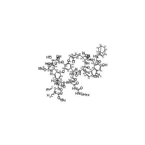 CCCCCCNC(=O)NC(=O)C[C@@H]1NC(=O)[C@H](NC(=O)[C@@H](CC(C)C)N(C)C(=O)OC(C)(C)C)[C@H](O)c2ccc3c(c2)C(NC(=O)OC(C)(C)C)[C@H]2O[C@@H](Oc4c5cc(cc4O3)[C@@H](NC1=O)C(=O)N[C@H]1C(=O)N[C@H](C(=O)N[C@H](C(=O)NC3C4CC6CC(C4)CC3C6)c3cc(O)cc(C)c3-c3cc1ccc3O)[C@H](O)c1ccc(c(Cl)c1)O5)[C@H](O)[C@@H](O)[C@@H]2O